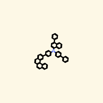 c1ccc(-c2ccc(N(c3ccc(-c4ccc5ccc6ccc7ccccc7c6c5c4)cc3)c3ccc(-c4ccccc4)c4ccccc34)cc2)cc1